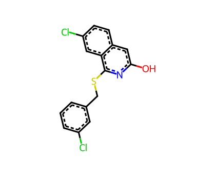 Oc1cc2ccc(Cl)cc2c(SCc2cccc(Cl)c2)n1